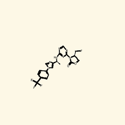 C[C@H](Nc1ncnc(N2C(=O)OC[C@@H]2CF)n1)c1cn(-c2ccc(C(F)(F)F)cc2)cn1